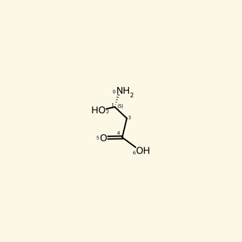 N[C@@H](O)CC(=O)O